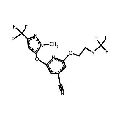 Cn1nc(C(F)(F)F)cc1Oc1cc(C#N)cc(OCCSC(F)(F)F)n1